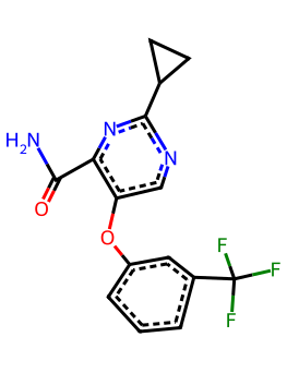 NC(=O)c1nc(C2CC2)ncc1Oc1cccc(C(F)(F)F)c1